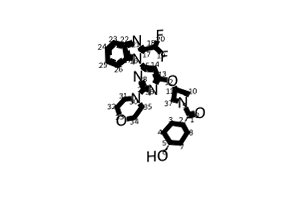 O=C([C@H]1CC[C@@H](O)CC1)N1CC(Oc2cc(-n3c(C(F)F)nc4ccccc43)nc(N3CCOCC3)n2)C1